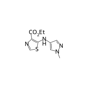 CCOC(=O)c1ncsc1Nc1cnn(C)c1